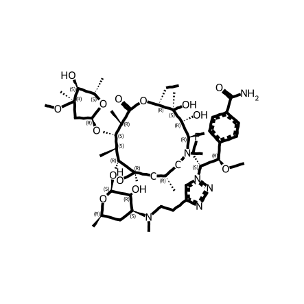 CC[C@H]1OC(=O)[C@H](C)[C@@H](O[C@H]2C[C@@](C)(OC)[C@@H](O)[C@H](C)O2)[C@H](C)[C@@H](O[C@@H]2O[C@H](C)C[C@H](N(C)CCc3cn([C@H](CF)[C@H](OC)c4ccc(C(N)=O)cc4)nn3)[C@H]2O)[C@](C)(O)C[C@@H](C)CN(C)[C@H](C)[C@@H](O)[C@]1(C)O